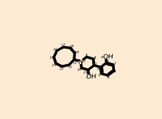 Oc1ccccc1C1CCN(C2CCCCCCCC2)CC1O